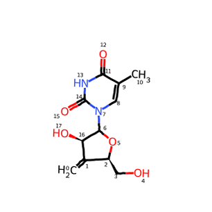 C=C1[C@H](CO)OC(n2cc(C)c(=O)[nH]c2=O)[C@@H]1O